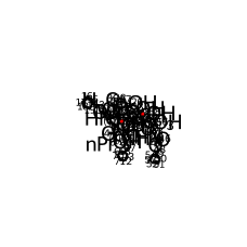 CCC[C@H](O)C(=O)N[C@@H]1C[C@H](NC(=O)OCc2ccccc2)[C@@H](O[C@H]2O[C@H](CO)CC[C@H]2C)[C@H](O[C@@H]2O[C@H](CO)[C@@H](O[C@H]3O[C@@H](CNC(=O)OCc4ccccc4)[C@@H](O)[C@H](O)[C@H]3C)[C@H]2OCCNCCc2ccccc2)[C@H]1O